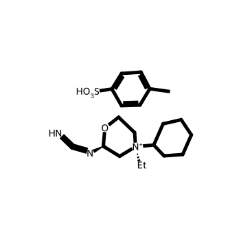 CC[N@@+]1(C2CCCCC2)CCO[C@H](N=C=N)C1.Cc1ccc(S(=O)(=O)O)cc1